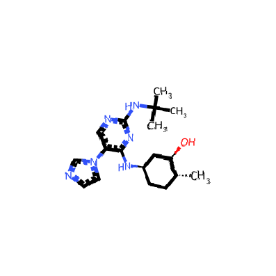 C[C@@H]1CC[C@@H](Nc2nc(NC(C)(C)C)ncc2-n2ccnc2)C[C@H]1O